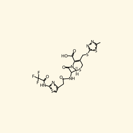 Cc1nnc(SCC2=C(C(=O)O)N3C(=O)C(NC(=O)Cc4csc(NC(=O)C(F)(F)F)n4)[C@@H]3SC2)s1